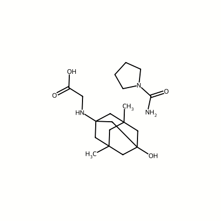 CC12CC3(C)CC(O)(C1)CC(NCC(=O)O)(C2)C3.NC(=O)N1CCCC1